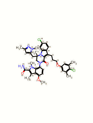 COc1ccc(N2C[C@](C)(Cc3cc(C)nn3C)n3c(c(CCCOc4cc(C)c(Cl)c(C)c4)c4ccc(Cl)cc43)C2=O)c2c1c(C)c(C(N)=O)n2C